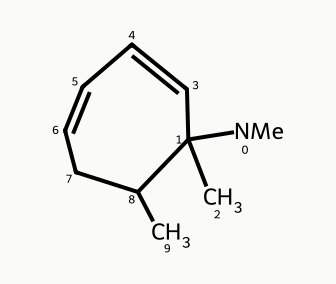 CNC1(C)C=CC=CCC1C